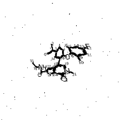 C=C(C)c1ccc(Oc2c(C)cc(F)cc2C)c(-c2cn(C)c(=O)c3sc(C(=O)NCC)cc23)c1